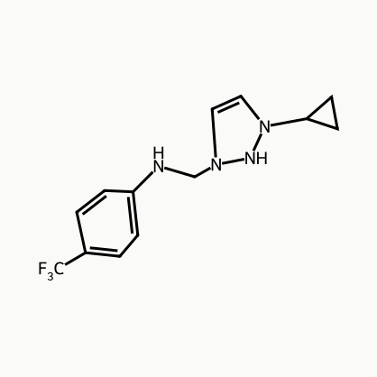 FC(F)(F)c1ccc(NCN2C=CN(C3CC3)N2)cc1